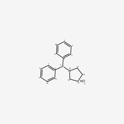 Cl.c1ccc(P(c2ccccc2)N2CCCC2)cc1